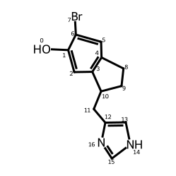 Oc1cc2c(cc1Br)CCC2Cc1c[nH]cn1